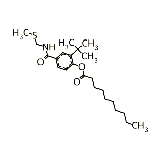 CCCCCCCCCC(=O)Oc1ccc(C(=O)NCSC)cc1C(C)(C)C